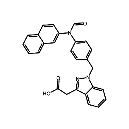 O=CN(c1ccc(Cn2nc(CC(=O)O)c3ccccc32)cc1)c1ccc2ccccc2c1